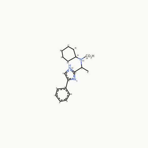 CC(c1nc(-c2ccccc2)c[nH]1)N(C(=O)O)C1CCCCC1